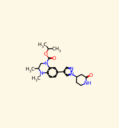 CC(C)OC(=O)N1CC(C)N(C)c2ccc(-c3cnn(C4CCNC(=O)C4)c3)cc21